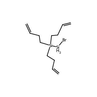 C=CCC[Si](CCC=C)(CCC=C)[SiH2]Br